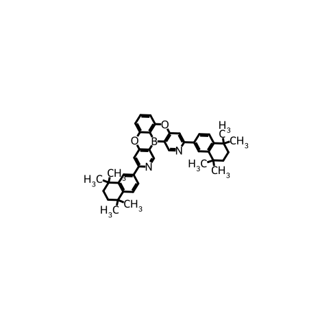 CC1(C)CCC(C)(C)c2cc(-c3cc4c(cn3)B3c5cnc(-c6ccc7c(c6)C(C)(C)CCC7(C)C)cc5Oc5cccc(c53)O4)ccc21